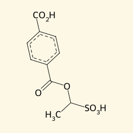 CC(OC(=O)c1ccc(C(=O)O)cc1)S(=O)(=O)O